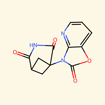 O=C1NC(=O)C2(n3c(=O)oc4cccnc43)CC1C2